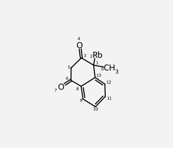 C[C]1([Rb])C(=O)CC(=O)c2ccccc21